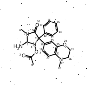 CC(=O)ON1C(N)N(C)C(=O)C1(c1ccccc1)c1ccc2c(c1)OCCN2C